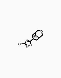 CC(C)c1noc(C2CC3COCC(C2)N3)n1